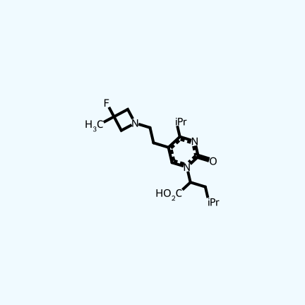 CC(C)CC(C(=O)O)n1cc(CCN2CC(C)(F)C2)c(C(C)C)nc1=O